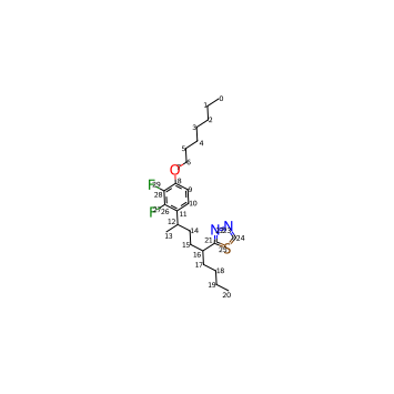 CCCCCCCOc1ccc(C(C)CCC(CCCC)c2nncs2)c(F)c1F